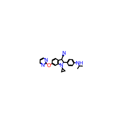 CC(C)Nc1ccc(C2C(C#N)c3ccc(Oc4ncccn4)cc3N2C2CC2)cc1